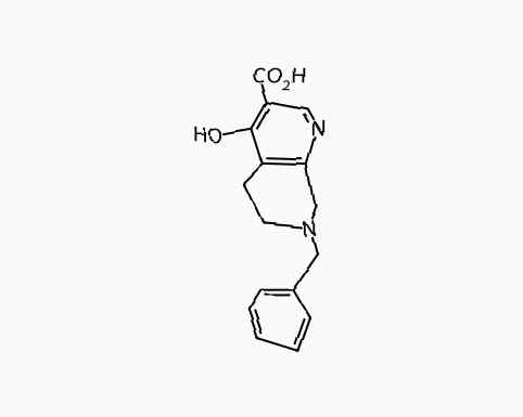 O=C(O)c1cnc2c(c1O)CCN(Cc1ccccc1)C2